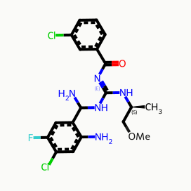 COC[C@H](C)N/C(=N\C(=O)c1cccc(Cl)c1)NC(N)c1cc(F)c(Cl)cc1N